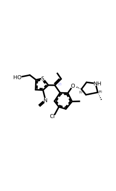 C=Nc1cc(CO)sc1/C(=C\C)c1cc(Cl)cc(C)c1O[C@@H]1CN[C@H](C)C1